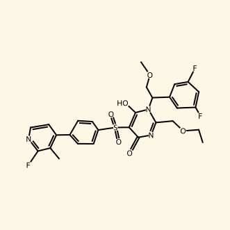 CCOCc1nc(=O)c(S(=O)(=O)c2ccc(-c3ccnc(F)c3C)cc2)c(O)n1C(COC)c1cc(F)cc(F)c1